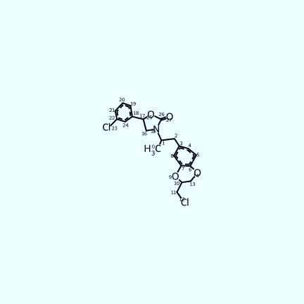 CC(Cc1ccc2c(c1)OC(CCl)CO2)N1CC(c2cccc(Cl)c2)OC1=O